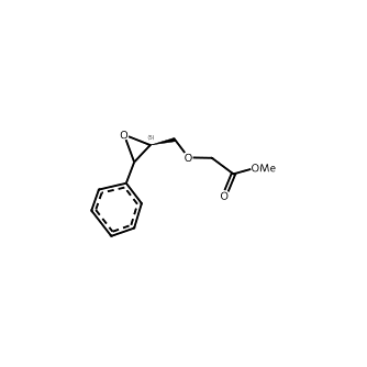 COC(=O)COC[C@@H]1OC1c1ccccc1